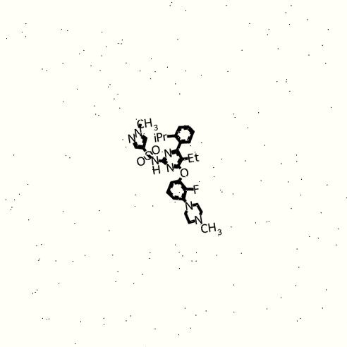 CCc1c(Oc2cccc(N3CCN(C)CC3)c2F)nc(NS(=O)(=O)c2cnn(C)c2)nc1-c1ccccc1C(C)C